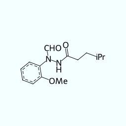 COc1ccccc1N(C=O)NC(=O)CCC(C)C